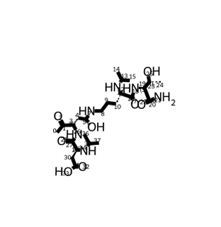 CC(=O)[C@H](CC(O)NCCC[C@H](NC(C)C)C(=O)N[C@H](C(N)=O)[C@@H](C)O)NC(=O)[C@H](CC(=O)O)NC(C)C